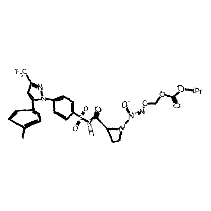 Cc1ccc(-c2cc(C(F)(F)F)nn2-c2ccc(S(=O)(=O)NC(=O)[C@@H]3CCN3/[N+]([O-])=N/OCOC(=O)OC(C)C)cc2)cc1